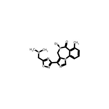 CCN1Cc2c(-c3noc(CN(C)C)n3)ncn2-c2cccc(C)c2C1=O